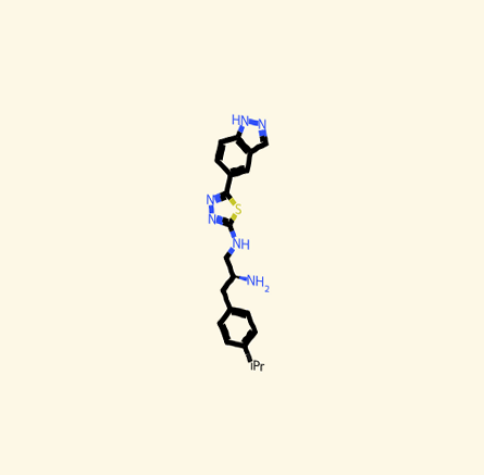 CC(C)c1ccc(C[C@H](N)CNc2nnc(-c3ccc4[nH]ncc4c3)s2)cc1